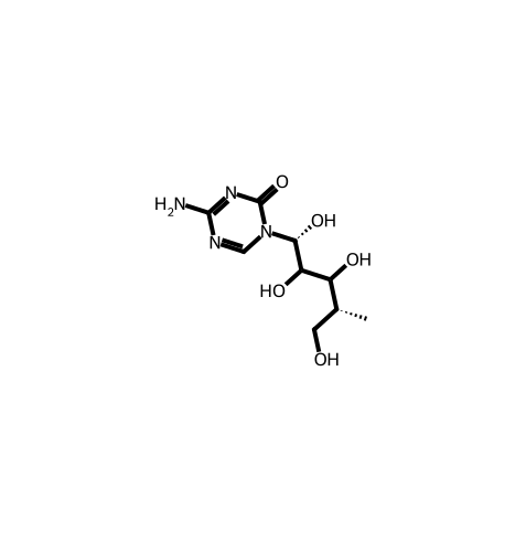 C[C@H](CO)C(O)C(O)[C@@H](O)n1cnc(N)nc1=O